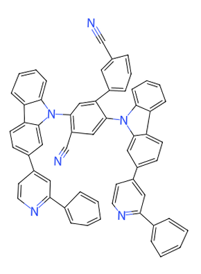 N#Cc1cccc(-c2cc(-n3c4ccccc4c4ccc(-c5ccnc(-c6ccccc6)c5)cc43)c(C#N)cc2-n2c3ccccc3c3ccc(-c4ccnc(-c5ccccc5)c4)cc32)c1